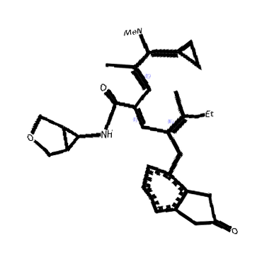 CC/C(C)=C(/C=C(\C=C(/C)C(NC)=C1CC1)C(=O)NC1C2COCC21)Cc1cccc2c1CC(=O)C2